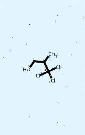 [CH2]C(CO)C(Cl)(Cl)Cl